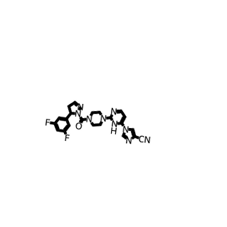 N#Cc1cn(C2=CC=NC(N3CCN(C(=O)N4N=CCC4c4cc(F)cc(F)c4)CC3)N2)cn1